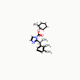 Cc1cccc([C@H](C)c2nccn2C(=O)OC2CCCCC2C(C)C)c1C